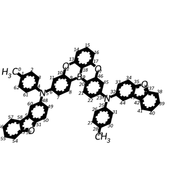 Cc1ccc(N(c2ccc3c(c2)Oc2cccc4c2B3c2ccc(N(c3ccc(C)cc3)c3ccc5oc6ccccc6c5c3)cc2O4)c2ccc3oc4ccccc4c3c2)cc1